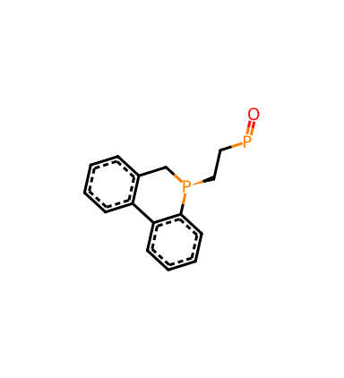 O=PCC[P@]1Cc2ccccc2-c2ccccc21